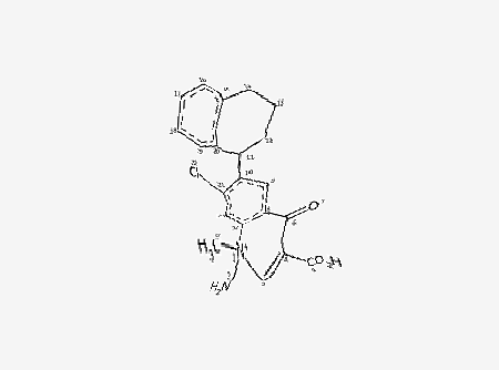 C[N+]1(N)C=C(C(=O)O)C(=O)c2cc(C3CCCc4ccccc43)c(Cl)cc21